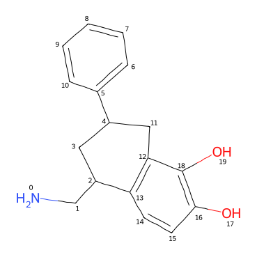 NCC1CC(c2ccccc2)Cc2c1ccc(O)c2O